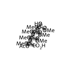 COC(=O)CCc1cc(OCc2cc(OC)c(OCc3cc(OC)c(OCc4cc(OC)c(OC(C)=O)cc4CCC(=O)O)cc3CCC(=O)OC)cc2CCC(=O)OC)c(OC)cc1CO